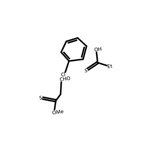 CCC(O)=S.COC(=S)CC=O.Clc1ccccc1